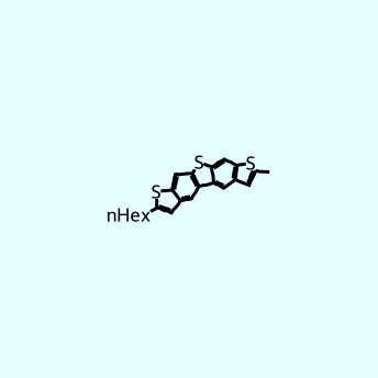 CCCCCCc1cc2cc3c(cc2s1)sc1cc2sc(C)cc2cc13